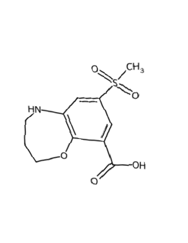 CS(=O)(=O)c1cc2c(c(C(=O)O)c1)OCCCN2